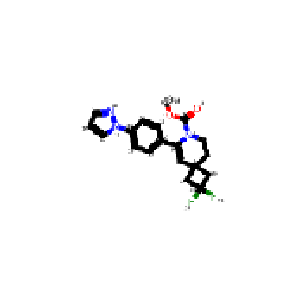 CC(C)(C)OC(=O)N1CCC2(C=C1c1ccc(-n3cccn3)cc1)CC(F)(F)C2